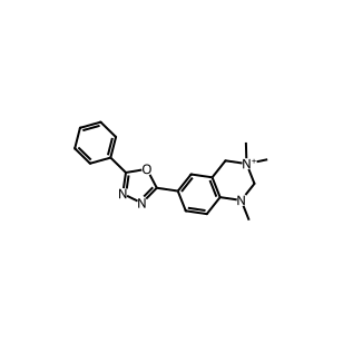 CN1C[N+](C)(C)Cc2cc(-c3nnc(-c4ccccc4)o3)ccc21